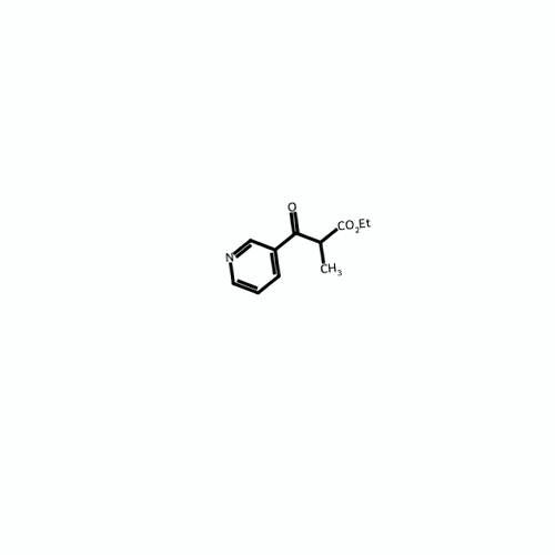 CCOC(=O)C(C)C(=O)c1cccnc1